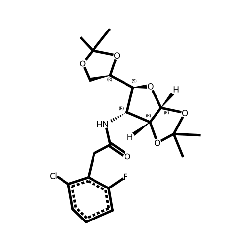 CC1(C)O[C@H]2O[C@H]([C@H]3COC(C)(C)O3)[C@@H](NC(=O)Cc3c(F)cccc3Cl)[C@H]2O1